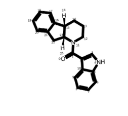 O=C(c1c[nH]c2ccccc12)N1CCC[C@H]2c3ccccc3C[C@H]21